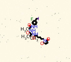 CC(C)[C@H](NC(=O)CCCCCN1C(=O)C=CC1=O)C(=O)N[C@@H](C)C(=O)Nc1ccc(CI)c(F)c1